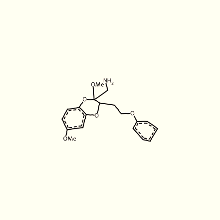 COc1ccc2c(c1)OC(CCOc1ccccc1)C(CN)(OC)O2